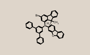 CC1(C)c2ccccc2-c2cc(Br)cc(N(c3cc(-c4ccccc4)cc(-c4ccccc4)c3)c3ccc4c(c3)oc3ccccc34)c21